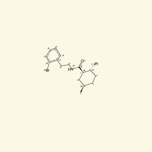 CC(C)[C@@H]1CC[C@@H](C)C[C@H]1C(=O)NCCc1ccccc1Br